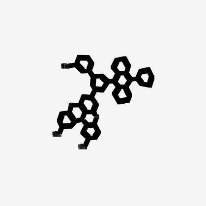 CC(C)(C)c1cccc(-c2cc(-c3cc4c5c(c3)Oc3ccc(C(C)(C)C)cc3B5c3cc(C(C)(C)C)ccc3O4)cc(-c3c4ccccc4c(-c4ccccc4)c4ccccc34)c2)c1